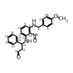 COc1ccc(CNc2cccc(NC(CC=O)c3ccccc3)c2N=O)cc1